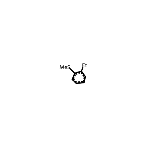 [CH2]Cc1ccccc1SC